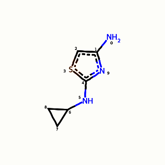 Nc1csc(NC2CC2)n1